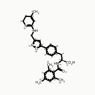 CC1=CC(NCc2cc(-c3ccc(C[C@H](NC(=O)c4c(C)cc(C)cc4C)C(=O)O)cc3)on2)=NCC1